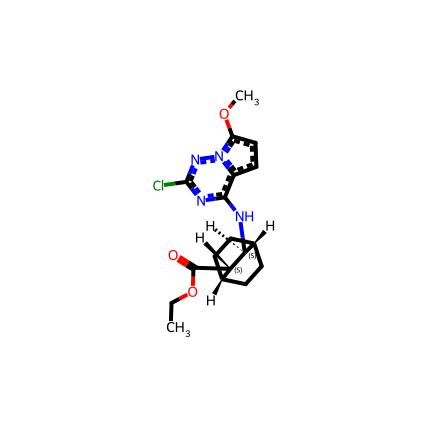 CCOC(=O)[C@H]1[C@H]2CC[C@H](CC2)[C@@H]1Nc1nc(Cl)nn2c(OC)ccc12